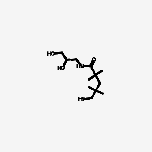 CC(C)(CS)CC(C)(C)C(=O)NCC(O)CO